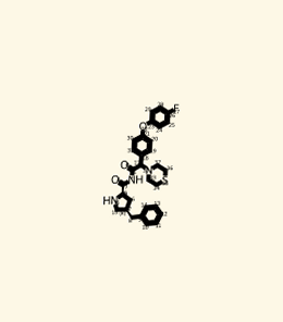 O=C(NC(=O)[C@H]1C[C@@H](Cc2ccccc2)CN1)C(c1ccc(Oc2ccc(F)cc2)cc1)N1CCSCC1